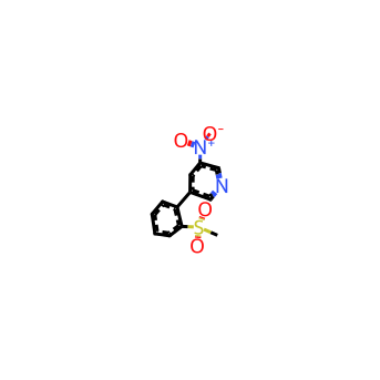 CS(=O)(=O)c1ccccc1-c1cncc([N+](=O)[O-])c1